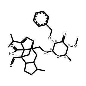 CO[C@H]1C(=O)[C@@H](OCc2ccccc2)[C@H](OCC23CC4C(C)CCC4C4(C=O)CC2C=C(C(C)C)C43C(=O)O)O[C@@H]1C